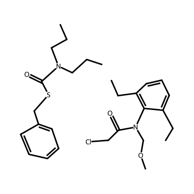 CCCN(CCC)C(=O)SCc1ccccc1.CCc1cccc(CC)c1N(COC)C(=O)CCl